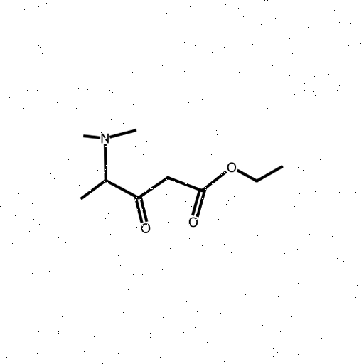 CCOC(=O)CC(=O)C(C)N(C)C